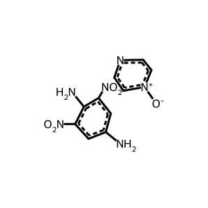 Nc1cc([N+](=O)[O-])c(N)c([N+](=O)[O-])c1.[O-][n+]1ccncc1